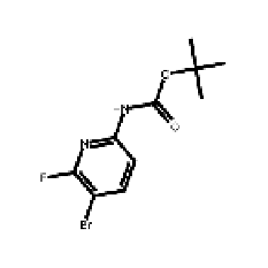 CC(C)(C)OC(=O)Nc1ccc(Br)c(F)n1